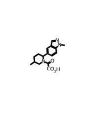 CC1CCC(c2ccc3c(cnn3C)c2)N(C(=O)C(=O)O)C1